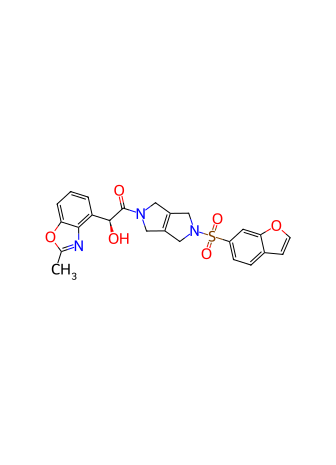 Cc1nc2c([C@H](O)C(=O)N3CC4=C(C3)CN(S(=O)(=O)c3ccc5ccoc5c3)C4)cccc2o1